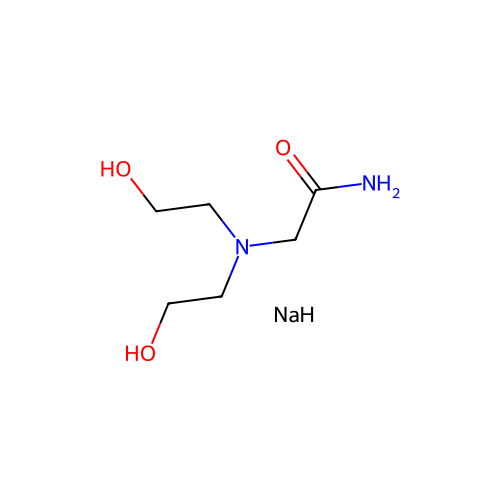 NC(=O)CN(CCO)CCO.[NaH]